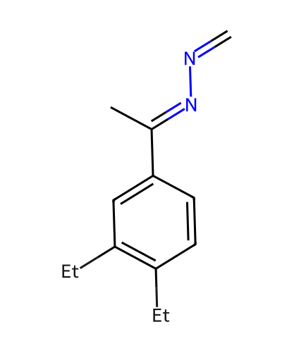 C=N/N=C(\C)c1ccc(CC)c(CC)c1